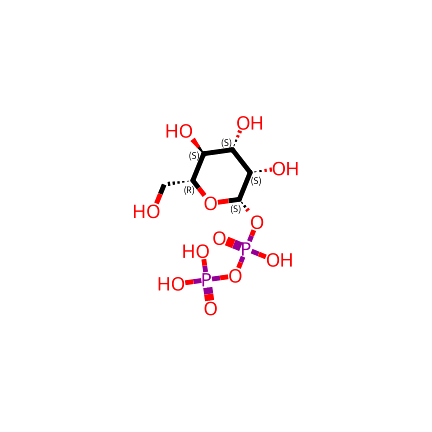 O=P(O)(O)OP(=O)(O)O[C@@H]1O[C@H](CO)[C@@H](O)[C@H](O)[C@@H]1O